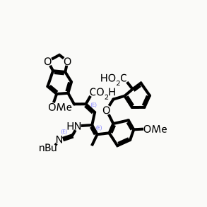 CCCC/N=C/NC(/C=C(\Cc1cc2c(cc1OC)OCO2)C(=O)O)=C(\C)c1ccc(OC)cc1OCc1ccccc1C(=O)O